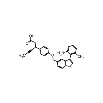 CC#CC(CC(=O)O)c1ccc(OCc2ccc3scc(-c4c(C)cccc4N)c3c2)cc1